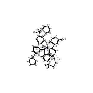 Bc1c2cc3c(c1N(c1ccc(S)cc1-c1ccccc1)/C(C)=C(/c1cc4c(cc1C)C(C)(C)CCC4(C)C)c1cc(C4=CCCC=C4)ccc1-2)-c1ccccc1C3(C)C